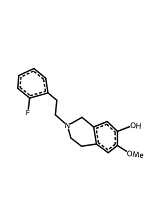 COc1cc2c(cc1O)CN(CCc1ccccc1F)CC2